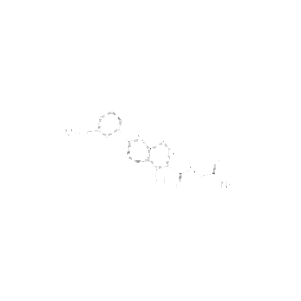 COc1cccc(-c2ccc3c(O)c(C(=O)NCC(=O)N=O)ncc3n2)c1